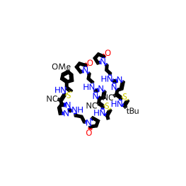 CC(C)(C)C1=CSC(=C(C#N)c2ccnc(NCCCN3CCCC3=O)n2)N1.CC1=CSC(=C(C#N)c2ccnc(NCCCN3CCCC3=O)n2)N1.COc1ccc(C2=CSC(=C(C#N)c3ccnc(NCCCN4CCCC4=O)n3)N2)cc1